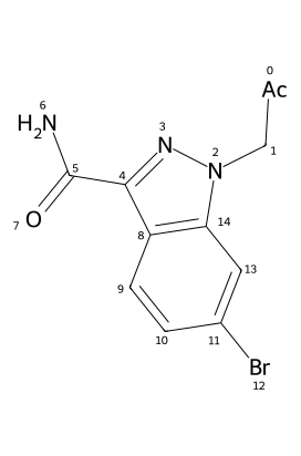 CC(=O)Cn1nc(C(N)=O)c2ccc(Br)cc21